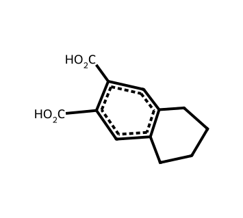 O=C(O)c1cc2c(cc1C(=O)O)CCCC2